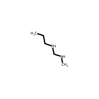 CCCPCNC